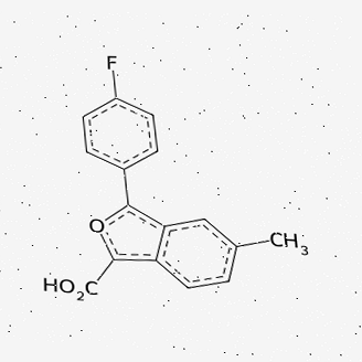 Cc1ccc2c(C(=O)O)oc(-c3ccc(F)cc3)c2c1